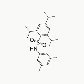 Cc1cc(C)cc(NS(=O)(=O)c2c(C(C)C)cc(C(C)C)cc2C(C)C)c1